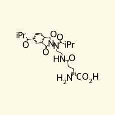 CC(C)C(=O)c1ccc2c(c1)C(=O)N(N(CCNC(=O)CC[C@@H](N)C(=O)O)C(=O)C(C)C)C2=O